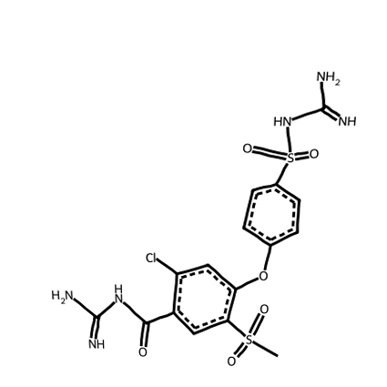 CS(=O)(=O)c1cc(C(=O)NC(=N)N)c(Cl)cc1Oc1ccc(S(=O)(=O)NC(=N)N)cc1